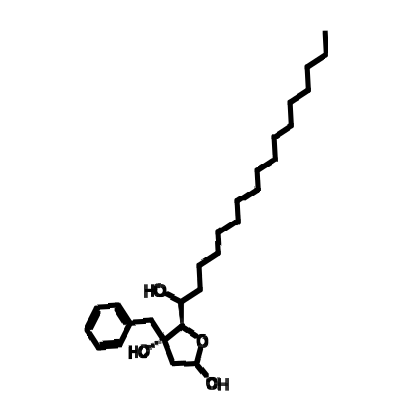 CCCCCCCCCCCCCCCCC(O)[C@H]1OC(O)C[C@@]1(O)Cc1ccccc1